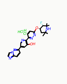 CC1(C)C[C@H](Oc2ccc(-c3ncc(-c4ccc5nccn5n4)cc3O)nn2)[C@H](F)C(C)(C)N1.Cl.Cl